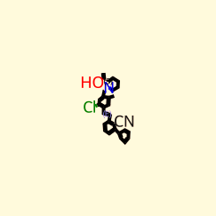 C=C(O)[C@@H]1CCCCN1Cc1cc(Cl)c(/C=C/c2cccc(-c3ccccc3)c2C#N)cc1C